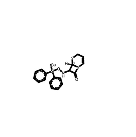 CC(C)(C)[Si](ONC1C(=O)N2C=CCS[C@@H]12)(c1ccccc1)c1ccccc1